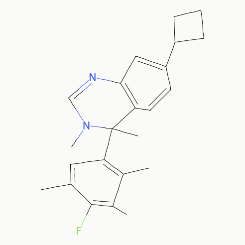 Cc1cc(C2(C)c3ccc(C4CCC4)cc3N=CN2C)c(C)c(C)c1F